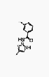 [CH2]c1cccc(C(=O)NN2NC=C(C)S2)c1